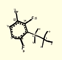 CC(C)(C)[Si](C)(C)c1c(F)ccc(Br)c1F